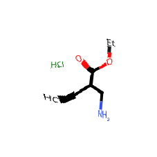 C#CC(CN)C(=O)OCC.Cl